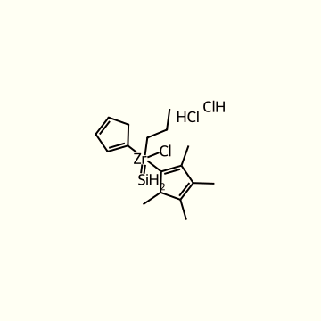 CC[CH2][Zr](=[SiH2])([Cl])([C]1=CC=CC1)[C]1=C(C)C(C)=C(C)C1C.Cl.Cl